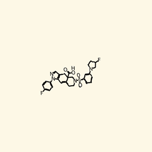 O=C(O)C12Cc3cnn(-c4ccc(F)cc4)c3C=C1CCN(S(=O)(=O)c1cccc(N3CCC(F)C3)c1)C2